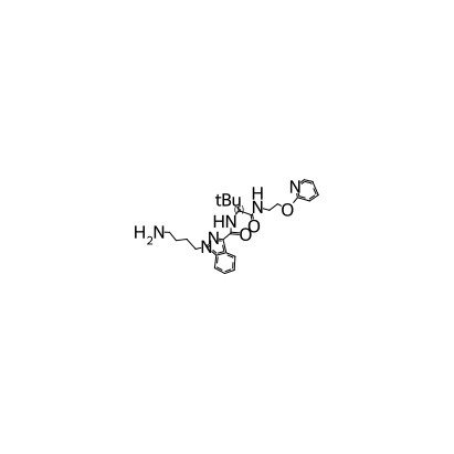 CC(C)(C)[C@H](NC(=O)c1nn(CCCCN)c2ccccc12)C(=O)NCCOc1ccccn1